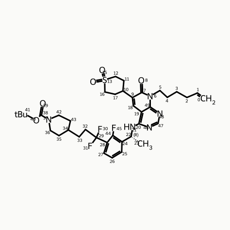 C=CCCCCn1c(=O)c(C2CCS(=O)(=O)CC2)cc2c(N[C@H](C)c3cccc(C(F)(F)CCC4CCN(C(=O)OC(C)(C)C)CC4)c3F)ncnc21